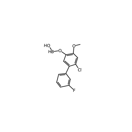 COc1cc(Cl)c(-c2cccc(F)c2)cc1OBO